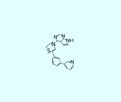 C1=C(c2cccc(-c3cccnc3)c2)SCCN1c1ncnc2[nH]ccc12